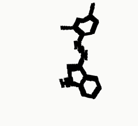 Cc1ccc(/N=N/c2c[nH]c3ccccc23)c(C)c1